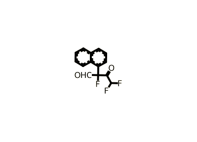 O=CC(F)(C(=O)C(F)F)c1cccc2ccccc12